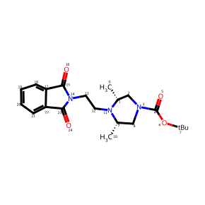 C[C@@H]1CN(C(=O)OC(C)(C)C)C[C@H](C)N1CCN1C(=O)c2ccccc2C1=O